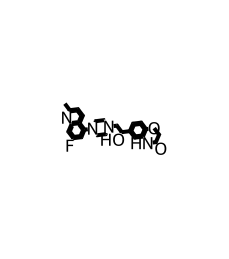 Cc1ccc2c(N3CCN(CC(O)c4ccc5c(c4)NC(=O)CO5)CC3)cc(F)cc2n1